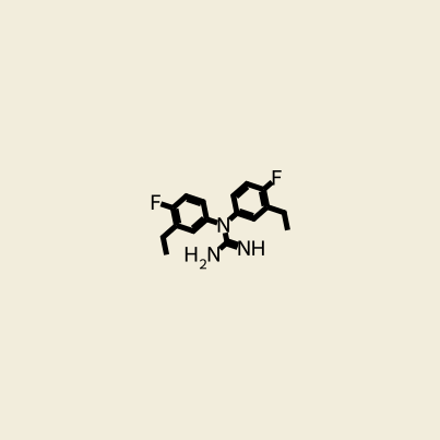 CCc1cc(N(C(=N)N)c2ccc(F)c(CC)c2)ccc1F